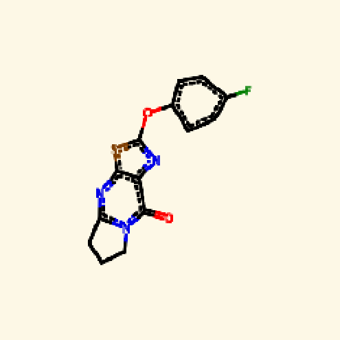 O=c1c2nc(Oc3ccc(F)cc3)sc2nc2n1CCC2